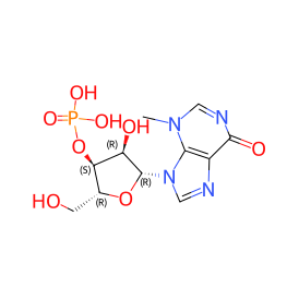 Cn1cnc(=O)c2ncn([C@@H]3O[C@H](CO)[C@@H](OP(=O)(O)O)[C@H]3O)c21